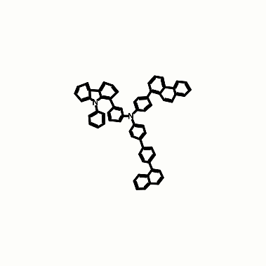 c1ccc(-n2c3ccccc3c3cccc(-c4cccc(N(c5ccc(-c6ccc(-c7cccc8ccccc78)cc6)cc5)c5ccc(-c6cccc7c6ccc6ccccc67)cc5)c4)c32)cc1